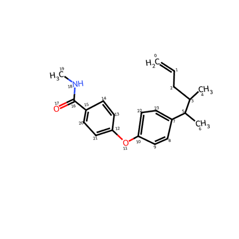 C=CCC(C)C(C)c1ccc(Oc2ccc(C(=O)NC)cc2)cc1